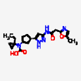 CCC1(N(C(=O)O)[C@@H]2CC[C@H](c3cc(NC(=O)Cc4ncc(C)o4)n[nH]3)C2)CC1